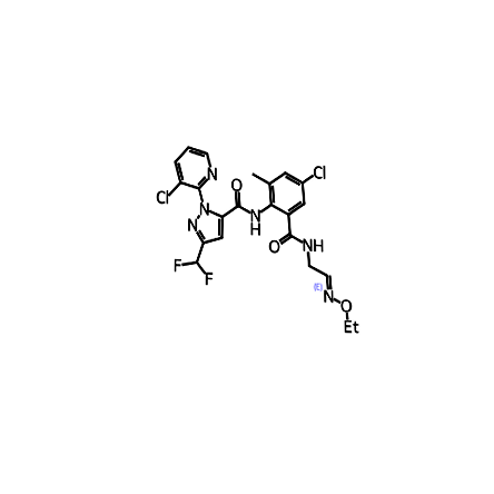 CCO/N=C/CNC(=O)c1cc(Cl)cc(C)c1NC(=O)c1cc(C(F)F)nn1-c1ncccc1Cl